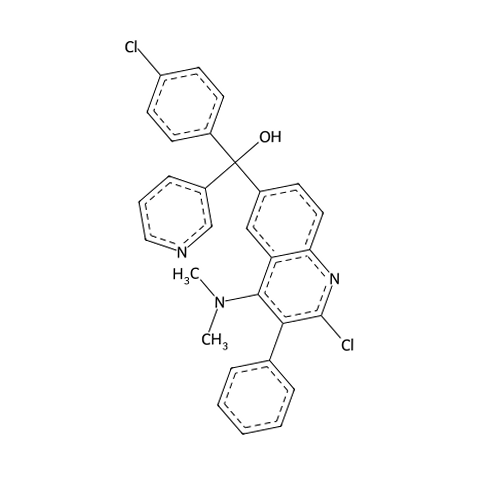 CN(C)c1c(-c2ccccc2)c(Cl)nc2ccc(C(O)(c3ccc(Cl)cc3)c3cccnc3)cc12